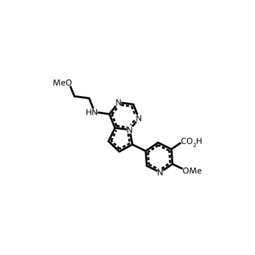 COCCNc1ncnn2c(-c3cnc(OC)c(C(=O)O)c3)ccc12